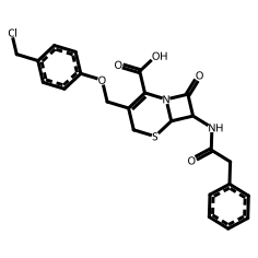 O=C(Cc1ccccc1)NC1C(=O)N2C(C(=O)O)=C(COc3ccc(CCl)cc3)CSC12